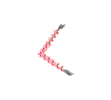 O=P([O-])([O-])[O-].O=P([O-])([O-])[O-].O=P([O-])([O-])[O-].O=P([O-])([O-])[O-].O=P([O-])([O-])[O-].O=P([O-])([O-])[O-].O=[Si]([O-])[O-].O=[Si]([O-])[O-].O=[Si]([O-])[O-].O=[Si]([O-])[O-].O=[Si]([O-])[O-].O=[Si]([O-])[O-].[Ba+2].[Ba+2].[Ba+2].[Ba+2].[Ba+2].[Zr+4].[Zr+4].[Zr+4].[Zr+4].[Zr+4]